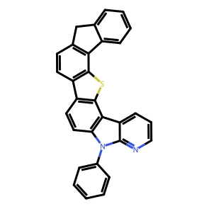 c1ccc(-n2c3ccc4c5ccc6c(c5sc4c3c3cccnc32)-c2ccccc2C6)cc1